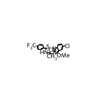 COc1c2cc(Cl)ccc2nn1CC(C)(C#N)NC(=S)c1ccc(C(F)(F)F)cc1